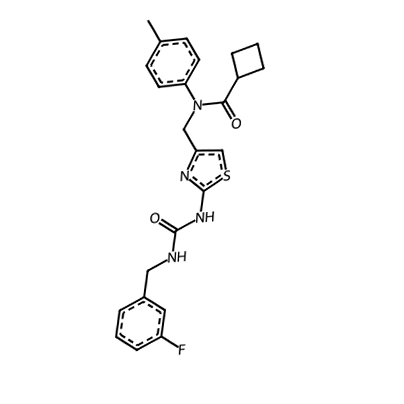 Cc1ccc(N(Cc2csc(NC(=O)NCc3cccc(F)c3)n2)C(=O)C2CCC2)cc1